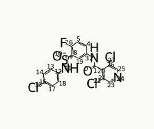 O=C(Nc1ccc(F)c([S+]([O-])Nc2ccc(Cl)cc2)c1)c1c(Cl)cncc1Cl